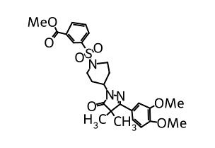 COC(=O)c1cccc(S(=O)(=O)N2CCC(N3N=C(c4ccc(OC)c(OC)c4)C(C)(C)C3=O)CC2)c1